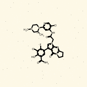 C[C@H]1CN(C)CCN1c1cc(NC(=O)Cn2cc(-c3cc(C(N)=O)c(O)c(Cl)c3F)c3c(=O)n4c(nc32)CCC4)c(Cl)cn1